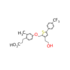 Cc1cc(OCc2sc(-c3ccc(C(F)(F)F)cc3)cc2CCO)ccc1CCC(=O)O